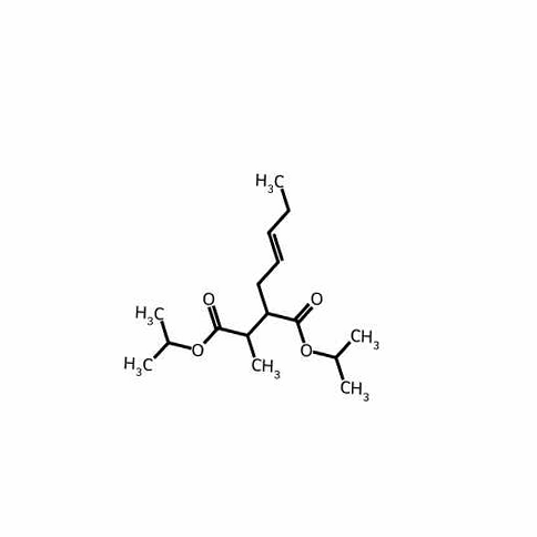 CCC=CCC(C(=O)OC(C)C)C(C)C(=O)OC(C)C